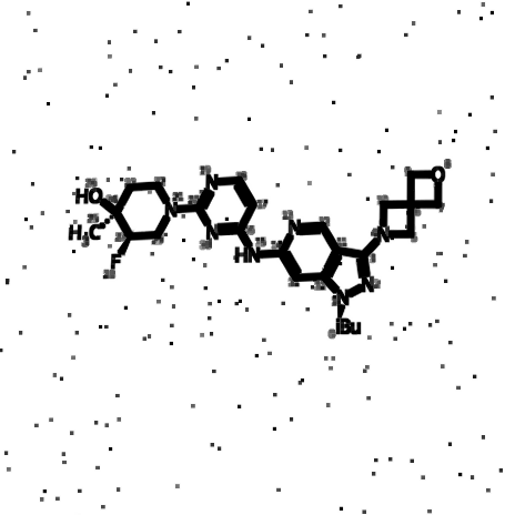 CC[C@H](C)n1nc(N2CC3(COC3)C2)c2cnc(Nc3ccnc(N4CC[C@](C)(O)[C@H](F)C4)n3)cc21